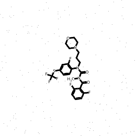 CN(C(=O)c1c(F)cccc1F)C(=O)N(CCCN1CCOCC1)c1ccc(SC(F)(F)F)cc1F